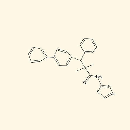 CC(C)(C(=O)Nc1nncs1)C(c1ccccc1)c1ccc(-c2ccccc2)cc1